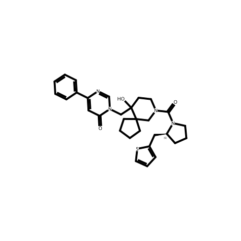 O=C(N1CCC(O)(Cn2cnc(-c3ccccc3)cc2=O)C2(CCCC2)C1)N1CCC[C@H]1Cc1cccs1